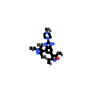 Cc1noc(C)c1-c1cc(-c2c(C)nn(C)c2C)c2nc(N3CCN(C)CC3)[nH]c2c1